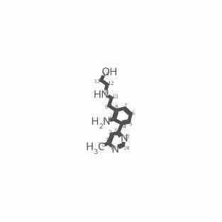 Cc1cc(-c2cccc(CCNCCO)c2N)ncn1